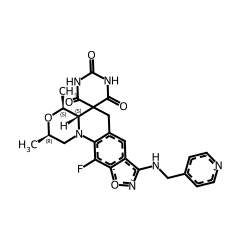 C[C@@H]1CN2c3c(cc4c(NCc5ccncc5)noc4c3F)CC3(C(=O)NC(=O)NC3=O)[C@H]2[C@H](C)O1